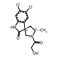 C[C@H]1C[C@@]2(CN1C(=O)CO)C(=O)Nc1cc(Cl)c(Cl)cc12